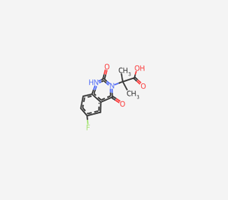 CC(C)(C(=O)O)n1c(=O)[nH]c2ccc(F)cc2c1=O